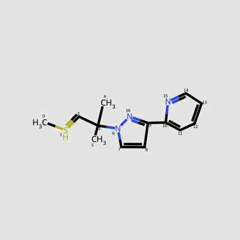 C/[SH]=C/C(C)(C)n1ccc(-c2ccccn2)n1